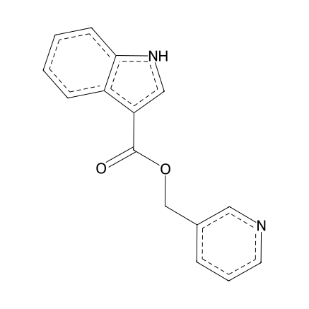 O=C(OCc1cccnc1)c1c[nH]c2ccccc12